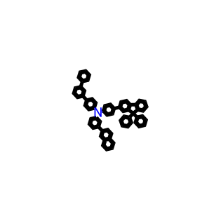 c1ccc(-c2cccc(-c3ccc(N(c4ccc(-c5ccc6c(c5)C(c5ccccc5)(c5ccccc5)c5ccccc5-6)cc4)c4cccc(-c5ccc6ccccc6c5)c4)cc3)c2)cc1